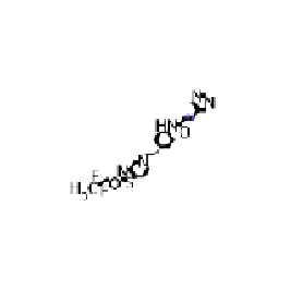 CC(F)(F)COc1nc2c(s1)CCN(CC[C@H]1CC[C@H](NC(=O)/C=C/c3cncnc3)CC1)C2